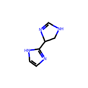 [C]1=NC(c2ncc[nH]2)CN1